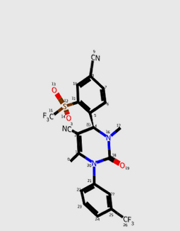 CC1=C(C#N)[C@@H](c2ccc(C#N)cc2S(=O)(=O)C(F)(F)F)N(C)C(=O)N1c1cccc(C(F)(F)F)c1